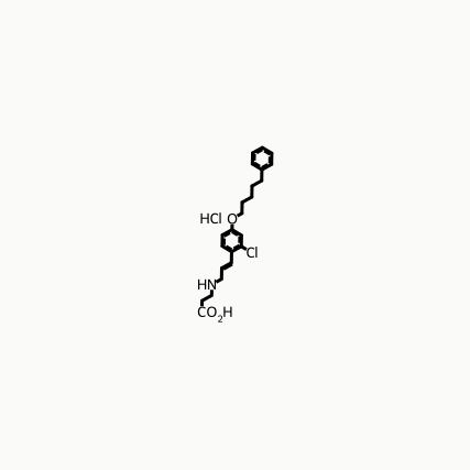 Cl.O=C(O)CCNC/C=C/c1ccc(OCCCCCc2ccccc2)cc1Cl